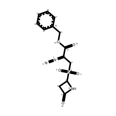 [N-]=[N+]=C(CS(=O)(=O)C1CC(=O)N1)C(=O)OCc1ccccc1